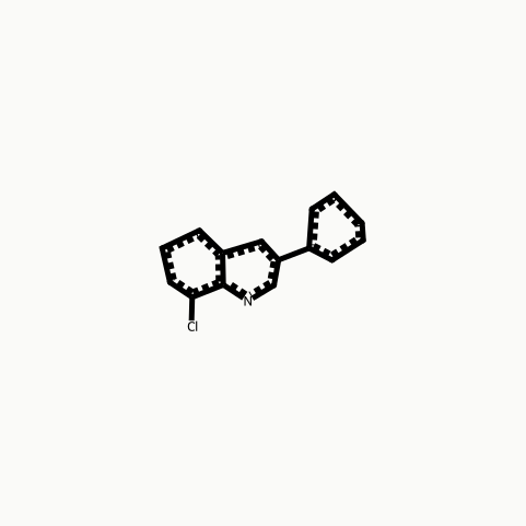 Clc1cccc2cc(-c3ccccc3)cnc12